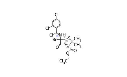 CC1(C)S[C@H]2N(C(=O)C2(Br)/N=C(\Cl)c2ccc(Cl)cc2Cl)[C@H]1C(=O)OCC(Cl)(Cl)Cl